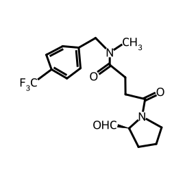 CN(Cc1ccc(C(F)(F)F)cc1)C(=O)CCC(=O)N1CCC[C@H]1C=O